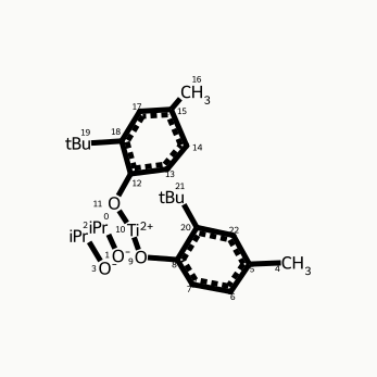 CC(C)[O-].CC(C)[O-].Cc1ccc([O][Ti+2][O]c2ccc(C)cc2C(C)(C)C)c(C(C)(C)C)c1